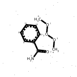 COOOC.NC(=O)c1ccccc1